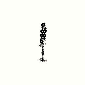 CCOP(=O)(O)CCOCCOCCOCCNC(=O)c1ccc2nc3c4ccc5c6ccc7c8c(ccc(c9ccc(c(=O)n3c2c1)c4c95)c68)c(=O)n1c2cc(C)ccc2nc71